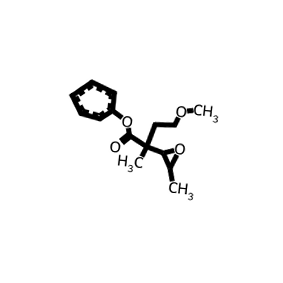 COCCC(C)(C(=O)Oc1ccccc1)C1OC1C